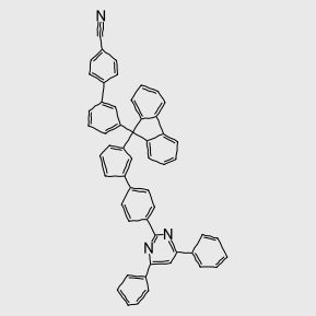 N#Cc1ccc(-c2cccc(C3(c4cccc(-c5ccc(-c6nc(-c7ccccc7)cc(-c7ccccc7)n6)cc5)c4)c4ccccc4-c4ccccc43)c2)cc1